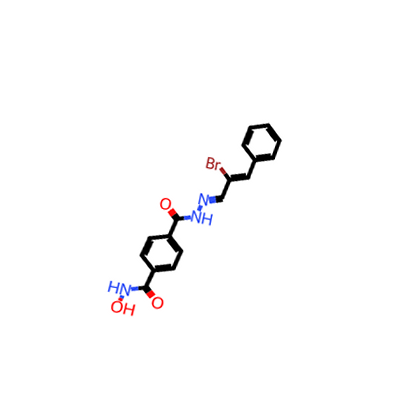 O=C(NO)c1ccc(C(=O)N/N=C/C(Br)=C/c2ccccc2)cc1